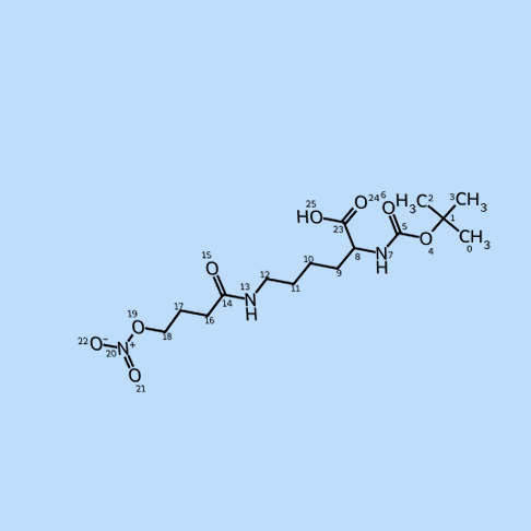 CC(C)(C)OC(=O)NC(CCCCNC(=O)CCCO[N+](=O)[O-])C(=O)O